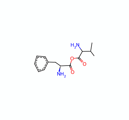 CC(C)C(N)C(=O)OC(=O)[C@@H](N)Cc1ccccc1